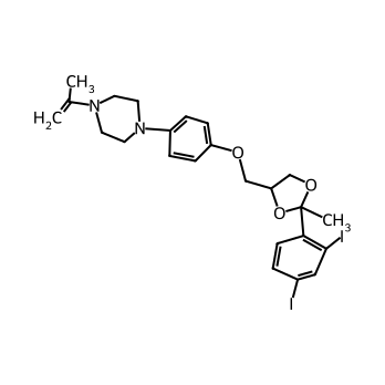 C=C(C)N1CCN(c2ccc(OCC3COC(C)(c4ccc(I)cc4I)O3)cc2)CC1